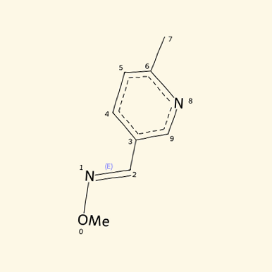 CO/N=C/c1ccc(C)nc1